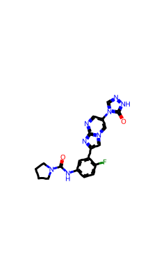 O=C(Nc1ccc(F)c(-c2cn3cc(-n4cn[nH]c4=O)cnc3n2)c1)N1CCCC1